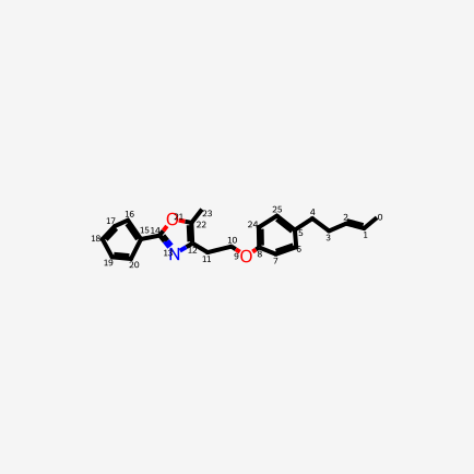 C/C=C/CCc1ccc(OCCc2nc(-c3ccccc3)oc2C)cc1